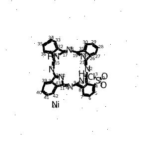 O=S(=O)(Cl)c1cccc2c3nc4nc(nc5[nH]c(nc6nc(nc([nH]3)c12)-c1ccccc1-6)c1ccccc51)-c1ccccc1-4.[Ni]